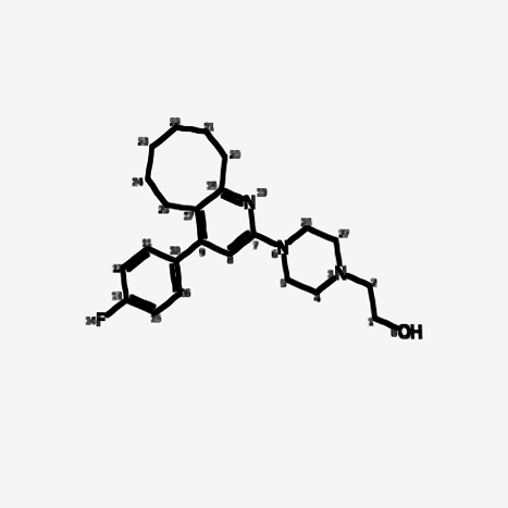 OCCN1CCN(c2cc(-c3ccc(F)cc3)c3c(n2)CCCCCC3)CC1